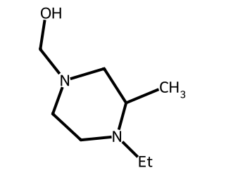 CCN1CCN(CO)CC1C